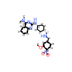 COc1cc(CNC[C@H]2CC[C@@H](Nc3nc(N(C)C)c4ccccc4n3)CC2)ccc1[N+](=O)[O-]